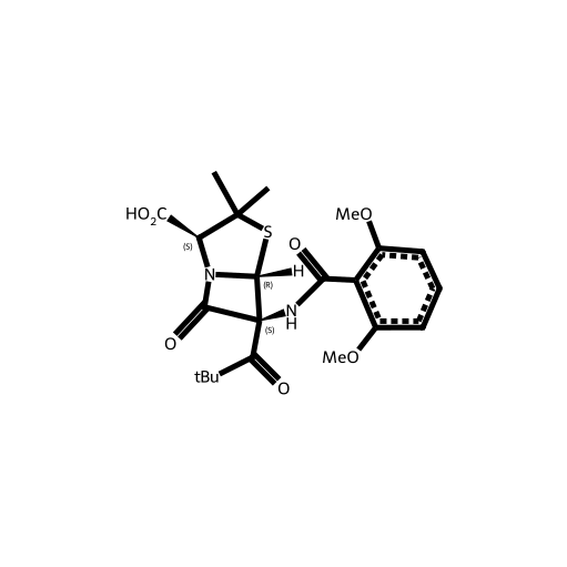 COc1cccc(OC)c1C(=O)N[C@@]1(C(=O)C(C)(C)C)C(=O)N2[C@@H](C(=O)O)C(C)(C)S[C@@H]21